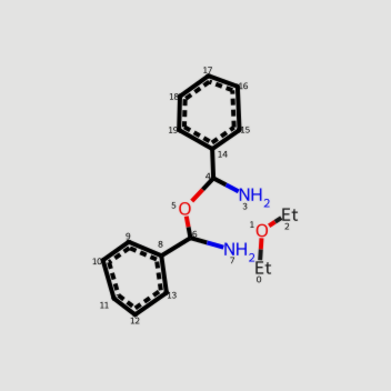 CCOCC.NC(OC(N)c1ccccc1)c1ccccc1